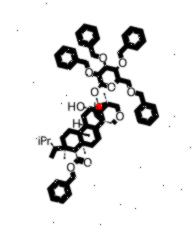 CC(C)[C@@H](C)[C@@]1(C)CC[C@]2(C)[C@H]3CC[C@@H]4[C@@]5(COC[C@]4(C)[C@@H](O[C@@H]4OC(COCc6ccccc6)[C@H](OCc6ccccc6)[C@H](OCc6ccccc6)C4OCc4ccccc4)[C@@H](O)C5)C3=CC[C@@]2(C)[C@@H]1C(=O)OCc1ccccc1